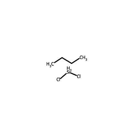 CCCC.Cl[SiH2]Cl